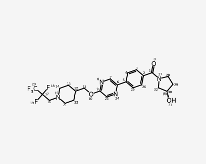 O=C(c1ccc(-c2cnc(OCC3CCN(CC(F)(F)C(F)(F)F)CC3)cn2)cc1)N1CC[C@@H](O)C1